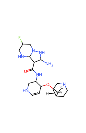 NC1NN2CC(F)CNC2C1C(=O)NC1CNC=CC1O[C@@H]1CN2CCC1CC2